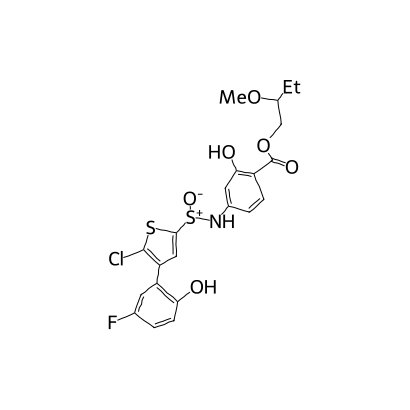 CCC(COC(=O)c1ccc(N[S+]([O-])c2cc(-c3cc(F)ccc3O)c(Cl)s2)cc1O)OC